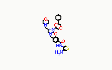 Nc1cscc1NC(=O)c1ccc(CN(CCCN2CCOCC2)C(=O)NC2=COC=C(C3=CC=CCC3)O2)cc1